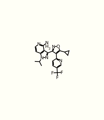 CC(C)n1nc(-c2noc(C3CC3)c2-c2ccc(C(F)(F)F)cn2)c2c(N)nccc21